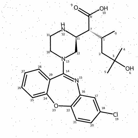 CC(CC(C)(C)O)[C@@H](C(=O)O)[C@H]1CN(C2=Nc3cc(Cl)ccc3Oc3ccccc32)CCN1